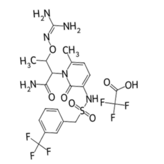 Cc1ccc(NS(=O)(=O)Cc2cccc(C(F)(F)F)c2)c(=O)n1C(C(N)=O)C(C)ON=C(N)N.O=C(O)C(F)(F)F